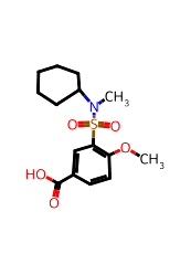 COc1ccc(C(=O)O)cc1S(=O)(=O)N(C)C1CCCCC1